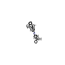 [O-][S+](Nc1ncc(/C=C/c2cnc(NC3CCCCC3)nc2)cn1)c1ccccc1Cl